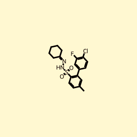 Cc1ccc(S(=O)(=O)NN=C2CCCCC2)c(-c2ccc(Cl)c(F)c2)c1